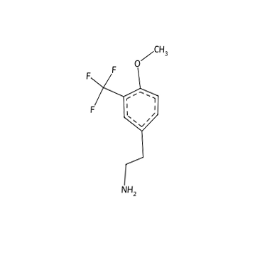 COc1ccc(CCN)cc1C(F)(F)F